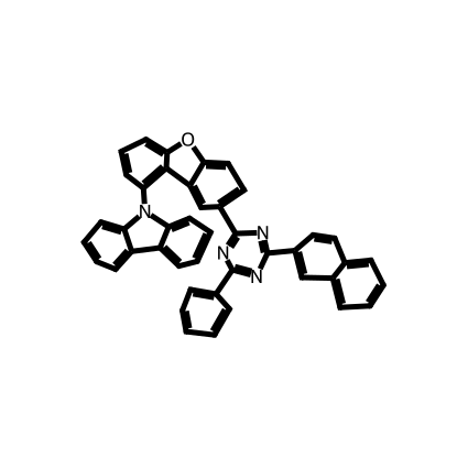 c1ccc(-c2nc(-c3ccc4ccccc4c3)nc(-c3ccc4oc5cccc(-n6c7ccccc7c7ccccc76)c5c4c3)n2)cc1